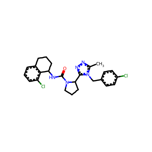 Cc1nnc(C2CCCN2C(=O)NC2CCCc3cccc(Cl)c32)n1Cc1ccc(Cl)cc1